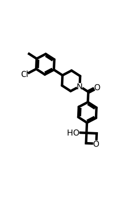 Cc1ccc(C2CCN(C(=O)c3ccc(C4(O)COC4)cc3)CC2)cc1Cl